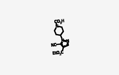 CCOC(=O)c1cnn(C2CCN(C(=O)O)CC2)c1C#N